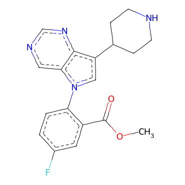 COC(=O)c1cc(F)ccc1-n1cc(C2CCNCC2)c2ncncc21